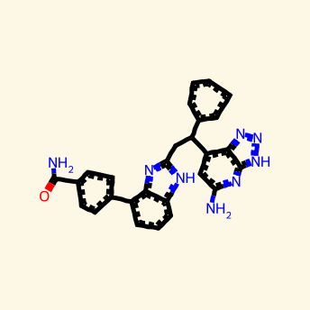 NC(=O)c1ccc(-c2cccc3[nH]c(CC(c4ccccc4)c4cc(N)nc5[nH]nnc45)nc23)cc1